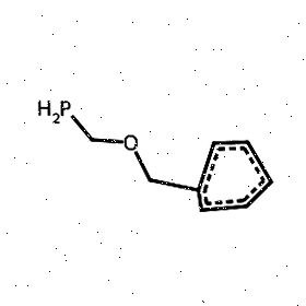 PCOCc1ccccc1